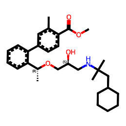 COC(=O)c1ccc(-c2ccccc2[C@@H](C)OC[C@@H](O)CNC(C)(C)CC2CCCCC2)cc1C